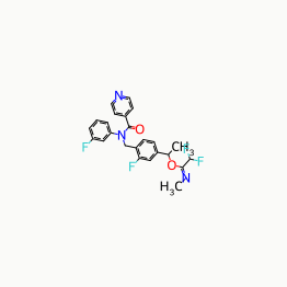 C/N=C(\OC(C)c1ccc(CN(C(=O)c2ccncc2)c2cccc(F)c2)c(F)c1)C(F)F